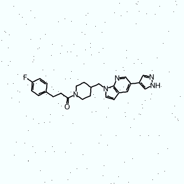 O=C(CCc1ccc(F)cc1)N1CCC(Cn2ccc3cc(-c4cn[nH]c4)cnc32)CC1